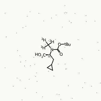 [2H]C([2H])([2H])N(C(=O)OC(C)(C)C)[C@@H](CC1CC1)C(=O)O